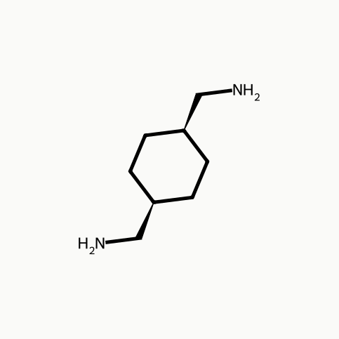 NC[C@H]1CC[C@@H](CN)CC1